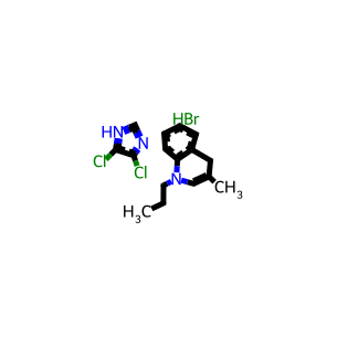 Br.CCCN1C=C(C)Cc2ccccc21.Clc1nc[nH]c1Cl